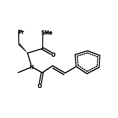 CSC(=O)[C@@H](CC(C)C)N(C)C(=O)/C=C/c1ccccc1